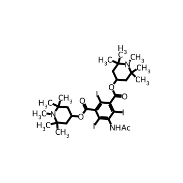 CC(=O)Nc1c(I)c(C(=O)OC2CC(C)(C)N(C)C(C)(C)C2)c(I)c(C(=O)OC2CC(C)(C)N(C)C(C)(C)C2)c1I